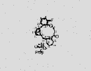 O=C1CCOc2c(F)cccc2-c2cccc(c2F)C[C@H]2[C@@H](NS(=O)(=O)C(F)F)CCCN12